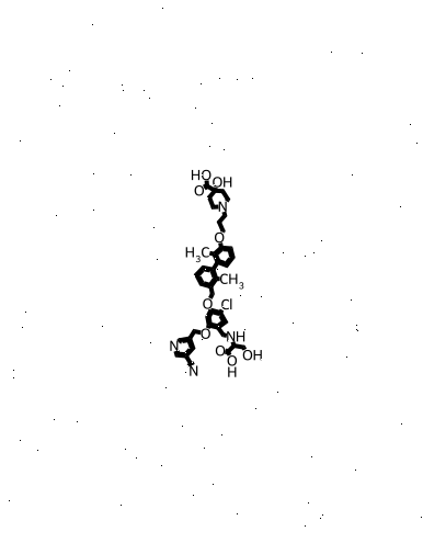 Cc1c(COc2cc(OCc3cncc(C#N)c3)c(CNC(CO)C(=O)O)cc2Cl)cccc1-c1cccc(OCCCN2CCC(O)(C(=O)O)CC2)c1C